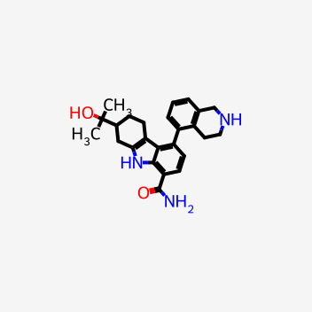 CC(C)(O)C1CCc2c([nH]c3c(C(N)=O)ccc(-c4cccc5c4CCNC5)c23)C1